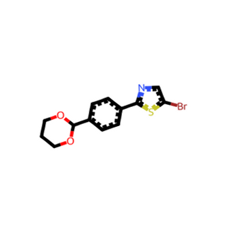 Brc1cnc(-c2ccc(C3OCCCO3)cc2)s1